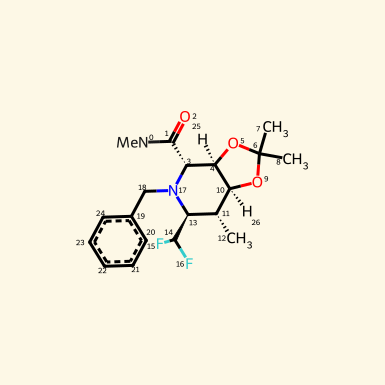 CNC(=O)[C@@H]1[C@H]2OC(C)(C)O[C@H]2[C@H](C)[C@@H](C(F)F)N1Cc1ccccc1